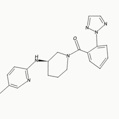 Cc1ccc(N[C@@H]2CCCN(C(=O)c3ccccc3-n3nccn3)C2)nc1